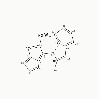 CSC1=CC2=CC=CC2=C1C1C(C)=Cc2ccccc21